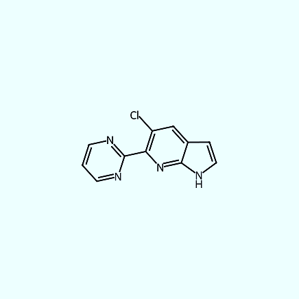 Clc1cc2cc[nH]c2nc1-c1ncccn1